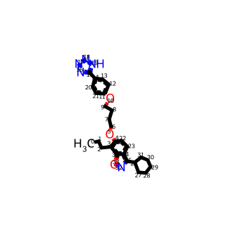 CCCc1c(OCCCCOc2ccc(-c3nnn[nH]3)cc2)ccc2c(C3CCCCC3)noc12